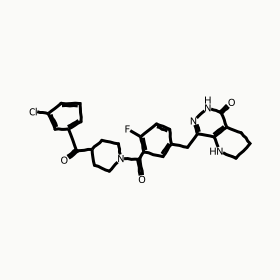 O=C(c1cccc(Cl)c1)C1CCN(C(=O)c2cc(Cc3n[nH]c(=O)c4c3NCCC4)ccc2F)CC1